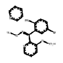 CC(C)(C)O/N=C(/c1cc(Br)ccc1O)c1ncccc1OS(=O)(=O)O.c1ccncc1